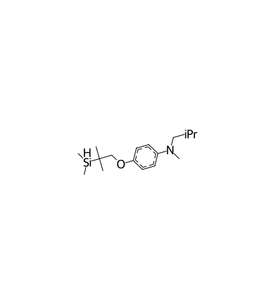 CC(C)CN(C)c1ccc(OCC(C)(C)[SiH](C)C)cc1